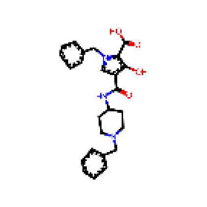 O=C(NC1CCN(Cc2ccccc2)CC1)c1cn(Cc2ccccc2)c(C(=O)O)c1O